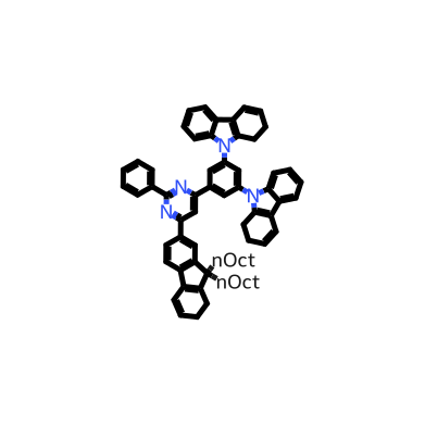 CCCCCCCCC1(CCCCCCCC)C2=C(C=CCC2)c2ccc(-c3cc(-c4cc(-n5c6c(c7ccccc75)C=CCC6)cc(-n5c6c(c7ccccc75)C=CCC6)c4)nc(-c4ccccc4)n3)cc21